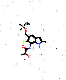 Cc1cc2cc(CO[Si](C)(C)C(C)(C)C)c(F)c(NC(=O)C(C)Br)c2[nH]1